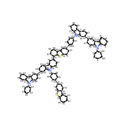 c1ccc(-n2c3ccccc3c3cc(-c4ccc5c6ccccc6n(-c6ccc(-c7ccc8sc9c(-c%10ccc%11c(c%10)c%10ccc(-c%12ccc%13c(c%12)c%12ccccc%12n%13-c%12ccccc%12)cc%10n%11-c%10ccc(-c%11ccc%12c(c%11)sc%11ccccc%11%12)cc%10)cccc9c8c7)cc6)c5c4)ccc32)cc1